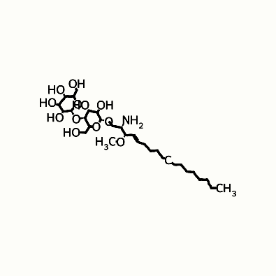 CCCCCCCCCCCCC/C=C/[C@H](OC)[C@@H](N)CO[C@@H]1OC(CO)[C@@H](O[C@@H]2OC(CO)[C@H](O)C(O)[C@@H]2O)C(O)C1O